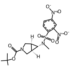 CN([C@H]1[C@@H]2CN(C(=O)OC(C)(C)C)C[C@@H]21)S(=O)(=O)c1ccc([N+](=O)[O-])cc1[N+](=O)[O-]